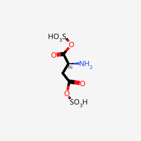 N[C@@H](CC(=O)OS(=O)(=O)O)C(=O)OS(=O)(=O)O